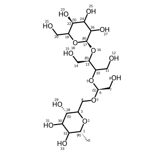 C[C@H]1OC(CO[C@H](CO)OC(CO)[C@@H](CO)O[C@H]2OC(CO)[C@@H](O)C(O)C2O)[C@@H](O)C(O)C1O